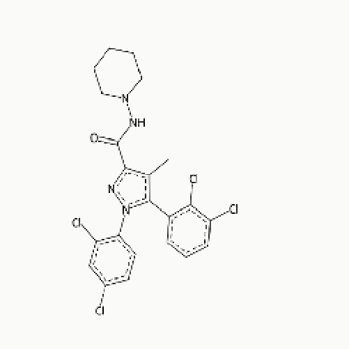 Cc1c(C(=O)NN2CCCCC2)nn(-c2ccc(Cl)cc2Cl)c1-c1cccc(Cl)c1Cl